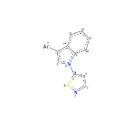 CC(=O)c1cn(-c2ccns2)c2ccccc12